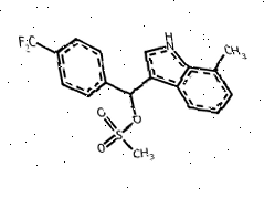 Cc1cccc2c(C(OS(C)(=O)=O)c3ccc(C(F)(F)F)cc3)c[nH]c12